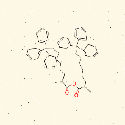 CC(CCCCCCC(c1ccccc1)(c1ccccc1)c1ccccc1)C(=O)OC(=O)C(C)CCCCCCC(c1ccccc1)(c1ccccc1)c1ccccc1